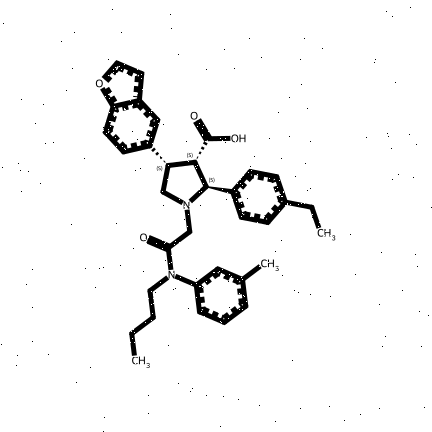 CCCCN(C(=O)CN1C[C@H](c2ccc3occc3c2)[C@H](C(=O)O)[C@H]1c1ccc(CC)cc1)c1cccc(C)c1